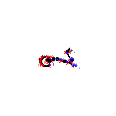 BC(C)(CC)C1CC(=O)N(CCCCCNC(=O)C2(C(=O)N[C@@H](CCCNC(N)=O)C(=O)Nc3ccc(COC(=O)NC4CCN(c5cc(O)c6nc7c8c9c%10c(C)c(O)c8c(=O)c(c-7oc6c5)NC(=O)/C(C)=C\C=C\[C@H](C)[C@H](O)[C@@H](C)[C@@H](I)[C@@H](C)[C@H](OC(C)=O)[C@H](C)[C@@H](OC)/C=C/O[C@@](C)(O%10)C9=O)CC4)cc3)CCC2)C1=O